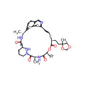 CC(C)[C@@H]1OC(=O)[C@H](CCC2(C)COCO2)C/C=C/c2cc3cc(ccc3cn2)[C@@H](C)NC(=O)[C@@H]2CCCN(N2)C(=O)[C@H](C)NC1=O